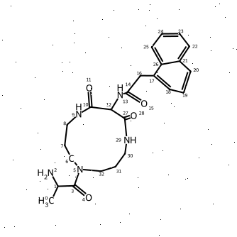 CC(N)C(=O)N1CCCNC(=O)C(NC(=O)Cc2cccc3ccccc23)C(=O)NCCC1